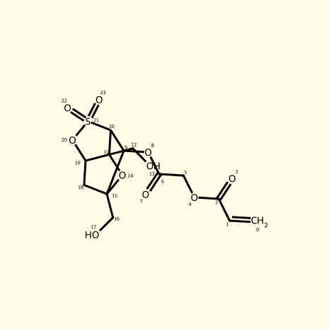 C=CC(=O)OCC(=O)OC1C2C3(CO)OC1(CO)CC3OS2(=O)=O